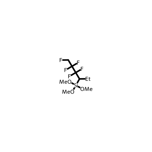 CCC(C(F)(F)C(F)(F)CF)[Si](OC)(OC)OC